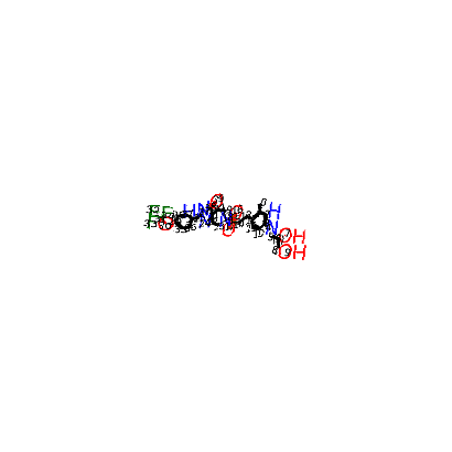 Cc1cc(NC[C@H](O)CO)ccc1CCS(=O)(=O)N1CCC2(CC1)N=C(c1ccc(OC(F)(F)F)cc1)NC2=O